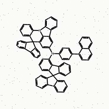 c1ccc2c(c1)-c1ccccc1C21c2ccccc2-c2c(N(c3ccc(-c4cccc5ccccc45)cc3)c3cc4c5c(c3)c3ccccc3n5-c3ccccc3C43c4ccccc4-c4ccccc43)cccc21